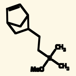 CO[Si](C)(C)CCC1CC2C=CC1C2